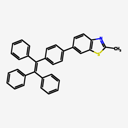 Cc1nc2ccc(-c3ccc(C(=C(c4ccccc4)c4ccccc4)c4ccccc4)cc3)cc2s1